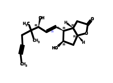 CC#CCC(C)(C)[C@H](O)/C=C/[C@@H]1[C@H]2CC(=O)O[C@H]2C[C@H]1O